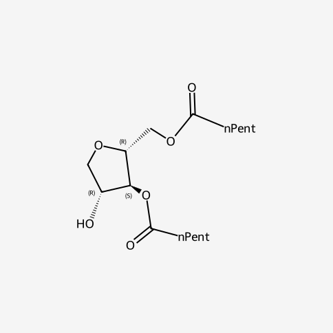 CCCCCC(=O)OC[C@H]1OC[C@@H](O)[C@@H]1OC(=O)CCCCC